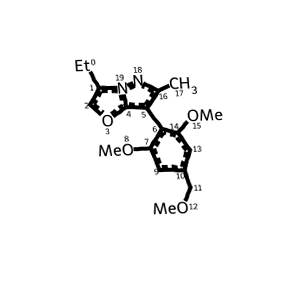 CCc1coc2c(-c3c(OC)cc(COC)cc3OC)c(C)nn12